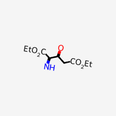 CCOC(=O)CC(=O)C(=N)C(=O)OCC